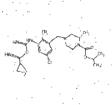 Cc1c(CN2CCN(C(=O)OC(C)C)[C@@H](C)C2)cc(Cl)cc1NC(=N)OC(=N)C1COC1